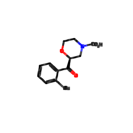 CC(C)(C)c1ccccc1C(=O)[C@@H]1CN(C(=O)O)CCO1